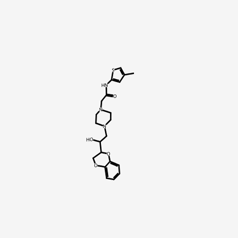 Cc1csc(NC(=O)CN2CCN(CC(O)C3COc4ccccc4O3)CC2)c1